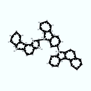 c1ccc2c(c1)ccc1c2c2ccccc2n1-c1ccc2c3ccccc3n(-c3nc4c(ccc5sc6ccccc6c54)o3)c2c1